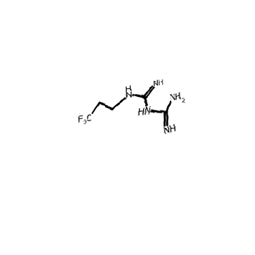 N=C(N)NC(=N)NCCC(F)(F)F